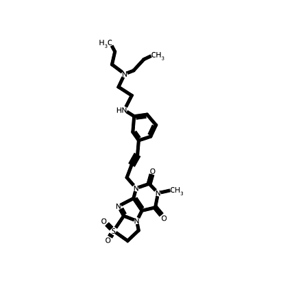 CCCN(CCC)CCNc1cccc(C#CCn2c(=O)n(C)c(=O)c3c2nc2n3CCS2(=O)=O)c1